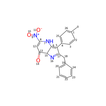 Cc1ccc(C2=C3NC([N+](=O)[O-])=CC(=O)C3N=C2Cc2ccccc2)cc1